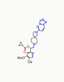 COc1cc([C@H](CN2CCC3(CC2)CCN(c2ccc4nncn4n2)C3)OC(=O)C2CC2)ncc1C#N